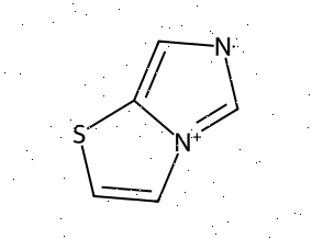 C1=c2scc[n+]2=C[N]1